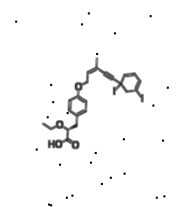 CCO[C@@H](Cc1ccc(OCC=C(C)C#CC2(I)C=CC=C(I)C2)cc1)C(=O)O